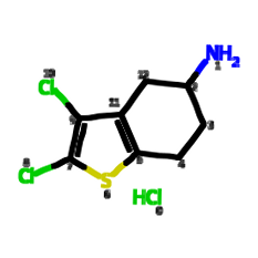 Cl.NC1CCc2sc(Cl)c(Cl)c2C1